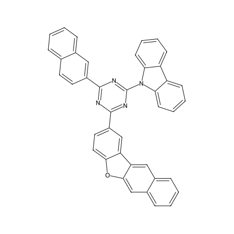 c1ccc2cc(-c3nc(-c4ccc5oc6cc7ccccc7cc6c5c4)nc(-n4c5ccccc5c5ccccc54)n3)ccc2c1